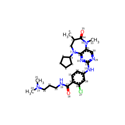 CC1CN(C2CCCC2)c2nc(Nc3ccc(C(=O)NCCCN(C)C)c(Cl)c3)ncc2N(C)C1=O